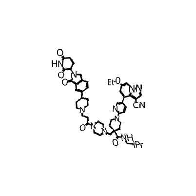 CCOc1cc(-c2ccc(N3CCC(CN4CCN(C(=O)CCN5CCC(c6ccc7c(c6)C(=O)N(C6CCC(=O)NC6=O)C7)CC5)CC4)(C(=O)NCC(C)C)CC3)nc2)c2c(C#N)cnn2c1